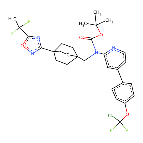 CC(C)(C)OC(=O)N(CC12CCC(c3noc(C(C)(F)F)n3)(CC1)CC2)c1cc(-c2ccc(OC(F)(F)Cl)cc2)ccn1